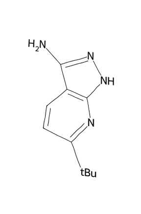 CC(C)(C)c1ccc2c(N)n[nH]c2n1